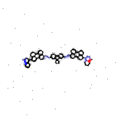 C=C(C)/C=C\C(=C1\C=CC=CC1C)C1CC=C2C3=C1C=CCC3C1=CCCC3C(/C=C/C4=CC5=C(CC4)C4=C(C=C(/C=C/C6CCC7=C8C(=CCCC86)C6CCCC8=C(C9=c%10ccccc%10=NCC9)C=CC7C86)CC4)C5(CC)CC)=CCC2C13